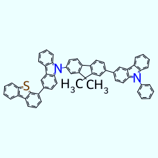 CC1(C)c2cc(-c3ccc4c(c3)c3ccccc3n4-c3ccccc3)ccc2-c2ccc(-n3c4ccccc4c4cc(-c5cccc6c5sc5ccccc56)ccc43)cc21